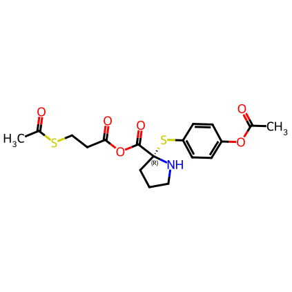 CC(=O)Oc1ccc(S[C@@]2(C(=O)OC(=O)CCSC(C)=O)CCCN2)cc1